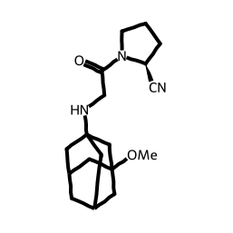 COC12CC3CC(CC(NCC(=O)N4CCC[C@H]4C#N)(C3)C1)C2